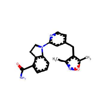 Cc1noc(C)c1Cc1ccnc(N2CCc3c(C(N)=O)cccc32)c1